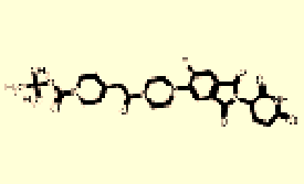 CC(C)(C)OC(=O)N1CCC(CC(=O)N2CCN(c3cc4c(cc3F)C(=O)N(C3CCC(=O)NC3=O)C4=O)CC2)CC1